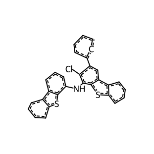 Clc1c(-c2ccccc2)cc2c(sc3ccccc32)c1Nc1cccc2c1sc1ccccc12